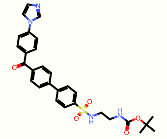 CC(C)(C)OC(=O)NCCNS(=O)(=O)c1ccc(-c2ccc(C(=O)c3ccc(-n4ccnc4)cc3)cc2)cc1